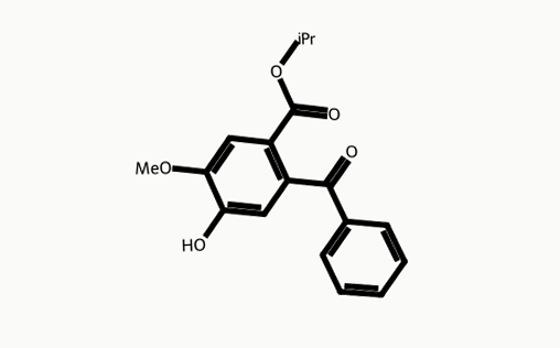 COc1cc(C(=O)OC(C)C)c(C(=O)c2ccccc2)cc1O